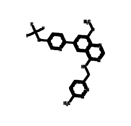 COc1cc(-c2ccc(OC(F)(F)F)cn2)cc2c(NCc3ccc(C)nn3)ncnc12